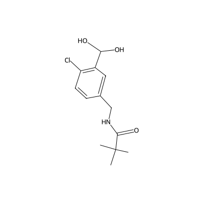 CC(C)(C)C(=O)NCc1ccc(Cl)c(C(O)O)c1